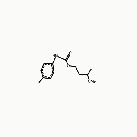 COC(C)CCOC(=O)Nc1ccc(C)cc1